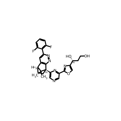 CC1(C)[C@H]2CC[C@@]1(c1cncc(-c3nc([C@H](O)CCO)co3)n1)c1nnc(-c3c(F)cccc3F)cc12